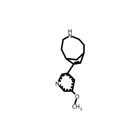 COc1cncc(C2=CC3CCNCCC2C3)c1